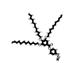 CCCCCCCCCCCCOc1cc(C(=O)Oc2ccc(N=[N+]=[N-])cc2)cc(OCCCCCCCCCCCC)c1OCCCCCCCCCCCC